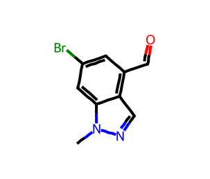 Cn1ncc2c(C=O)cc(Br)cc21